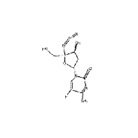 [N-]=[N+]=N[C@]1(CO)O[C@@H](n2cc(F)c(N)nc2=O)C[C@@H]1O